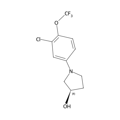 O[C@@H]1CCN(c2ccc(OC(F)(F)F)c(Cl)c2)C1